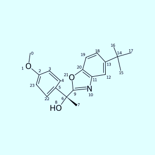 COc1ccc([C@@](C)(O)c2nc3cc(C(C)(C)C)ccc3o2)cc1